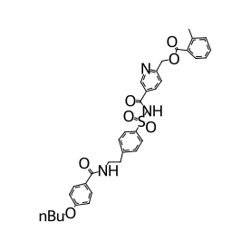 CCCCOc1ccc(C(=O)NCCc2ccc(S(=O)(=O)NC(=O)c3ccc(COC(=O)c4ccccc4C)nc3)cc2)cc1